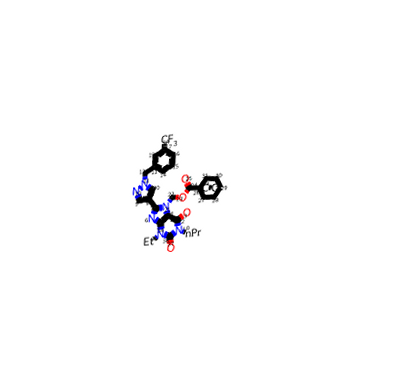 CCCn1c(=O)c2c(nc(-c3cnn(Cc4cccc(C(F)(F)F)c4)c3)n2COC(=O)C23CCC(CC2)CC3)n(CC)c1=O